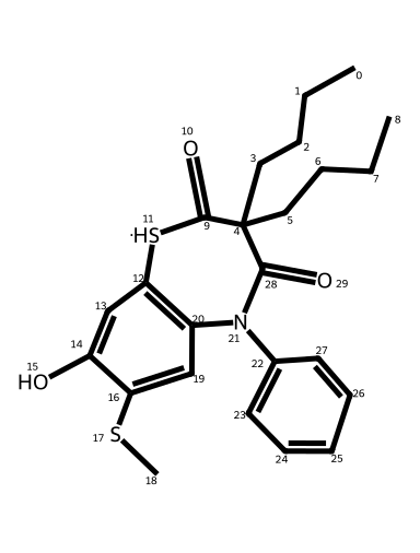 CCCCC1(CCCC)C(=O)[SH]c2cc(O)c(SC)cc2N(c2ccccc2)C1=O